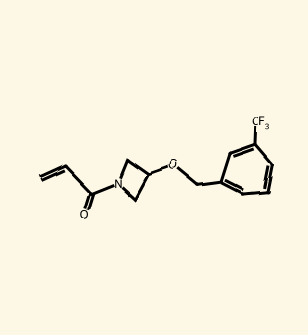 C=CC(=O)N1CC(OCc2cccc(C(F)(F)F)c2)C1